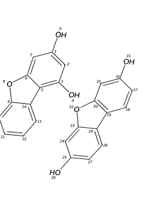 Oc1cc(O)c2c(c1)oc1ccccc12.Oc1ccc2c(c1)oc1cc(O)ccc12